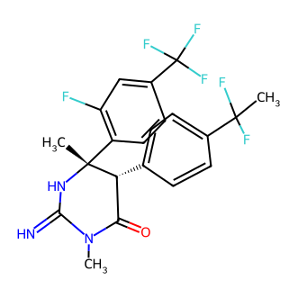 CN1C(=N)N[C@](C)(c2ccc(C(F)(F)F)cc2F)[C@H](c2ccc(C(C)(F)F)cc2)C1=O